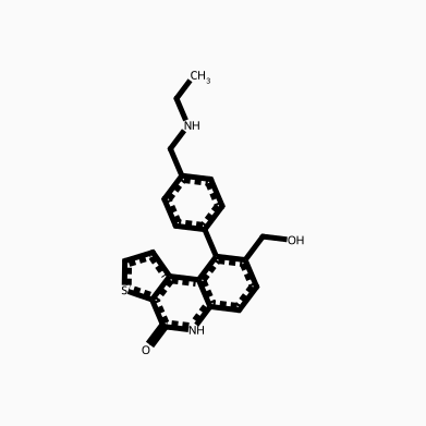 CCNCc1ccc(-c2c(CO)ccc3[nH]c(=O)c4sccc4c23)cc1